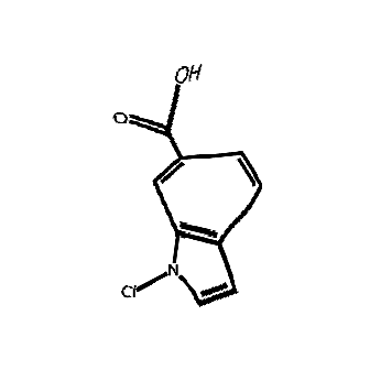 O=C(O)c1ccc2ccn(Cl)c2c1